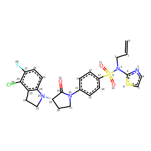 C=CCN(c1nccs1)S(=O)(=O)c1ccc(N2CC[C@H](N3CCc4c3ccc(F)c4Cl)C2=O)cc1